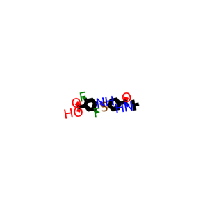 CC(C)(C)NC(=O)c1ccc(SNc2cc(F)c(C(=O)O)cc2F)cc1